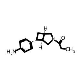 CCC(=O)N1C[C@@H]2C[C@@H](c3ccc(N)cc3)[C@@H]2C1